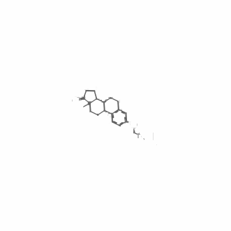 CC12CCC3c4ccc(OCN)cc4CCC3C1CCC2=O